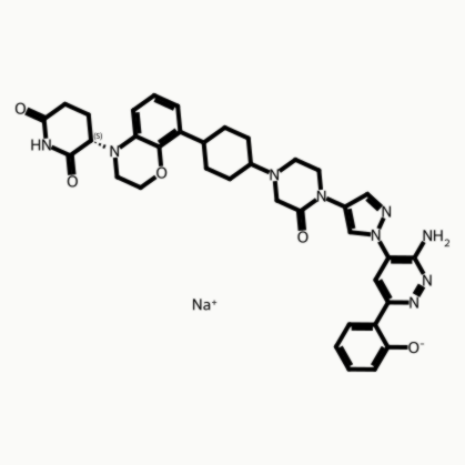 Nc1nnc(-c2ccccc2[O-])cc1-n1cc(N2CCN(C3CCC(c4cccc5c4OCCN5[C@H]4CCC(=O)NC4=O)CC3)CC2=O)cn1.[Na+]